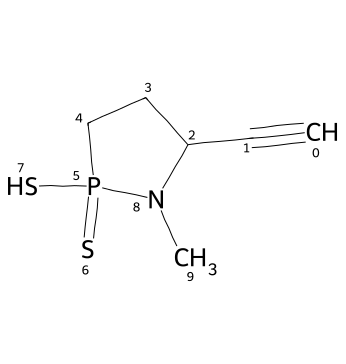 C#CC1CCP(=S)(S)N1C